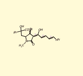 CCC/C=C/C=C/C(O)=C1/C(=O)C(CC(O)(C(=O)O)C(C)C)N(C)C1=O